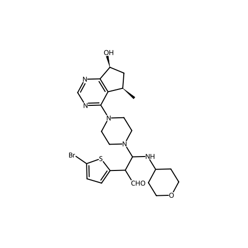 C[C@@H]1C[C@H](O)c2ncnc(N3CCN(C(NC4CCOCC4)C(C=O)c4ccc(Br)s4)CC3)c21